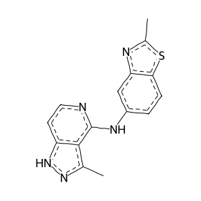 Cc1nc2cc(Nc3nccc4[nH]nc(C)c34)ccc2s1